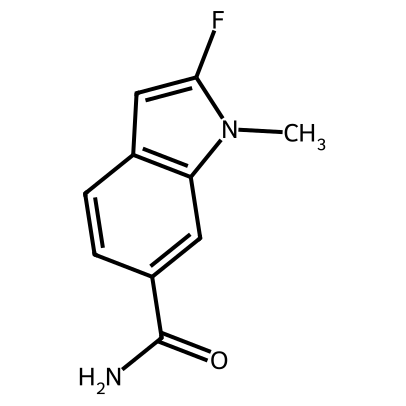 Cn1c(F)cc2ccc(C(N)=O)cc21